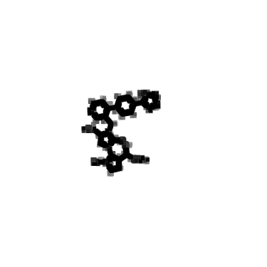 CCCCc1cn(-c2c(C(=O)OC)ccn2CC)c(=O)n1Cc1cnccc1-c1ccc(-c2nnn[nH]2)cc1